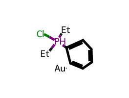 CC[PH](Cl)(CC)c1ccccc1.[Au]